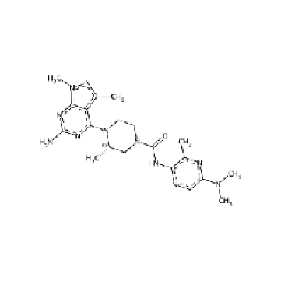 Cc1nc(N(C)C)cnc1NC(=O)N1CCN(c2nc(N)nc3c2c(C)nn3C)[C@@H](C)C1